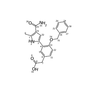 Cc1[nH]c(-c2cc(CC(=O)O)ccc2OCc2ccccc2)cc1C(N)=O